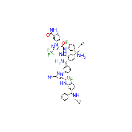 N#Cc1cc(C(=O)Nc2cc(C(NCC3CC3)c3ccccc3)ccc2F)n(-c2cccc(C(N)c3ccc(C(N)(CCC4CC4)c4ccc(F)c(NC(=O)c5cc(C(F)(F)F)nn5-c5cccc(C(N)=O)c5)c4)cc3C#N)c2)n1